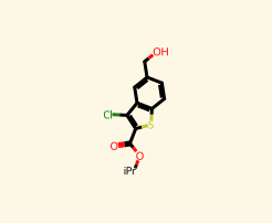 CC(C)OC(=O)c1sc2ccc(CO)cc2c1Cl